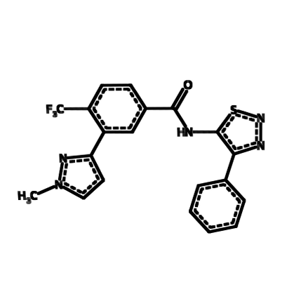 Cn1ccc(-c2cc(C(=O)Nc3snnc3-c3ccccc3)ccc2C(F)(F)F)n1